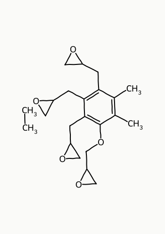 CC.Cc1c(C)c(OCC2CO2)c(CC2CO2)c(CC2CO2)c1CC1CO1